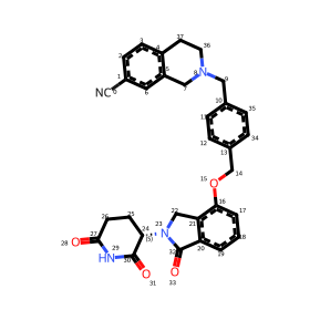 N#Cc1ccc2c(c1)CN(Cc1ccc(COc3cccc4c3CN([C@H]3CCC(=O)NC3=O)C4=O)cc1)CC2